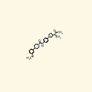 COc1cccc(C2CCN(C(=O)Nc3ccc(N4CCC(N(C)C(C)=O)C4)cc3)CC2)c1